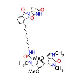 COc1cc(-c2cn(C)c(=O)c3c2ccn3C)cc(OC)c1CN(C)CC(=O)NCCCCCCCCc1cccc2c1CN(C13CC(C1)C(=O)NC3=O)C2=O